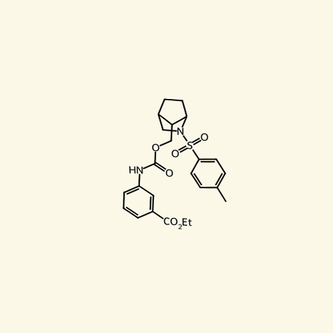 CCOC(=O)c1cccc(NC(=O)OCC2C3CCC2N(S(=O)(=O)c2ccc(C)cc2)C3)c1